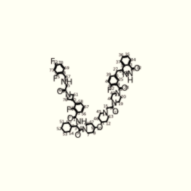 O=C(N[C@@H](C(=O)N1CCC(OC2CCN(CC(=O)N3CCN(C(=O)c4cc(Cc5n[nH]c(=O)c6ccccc56)ccc4F)CC3)CC2)CC1)C1CCCCC1)c1cccc(C2CN(C(=O)CNCc3ccc(F)cc3F)C2)c1F